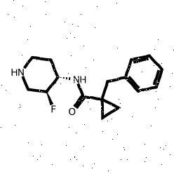 O=C(N[C@H]1CCNC[C@@H]1F)C1(Cc2ccccc2)CC1